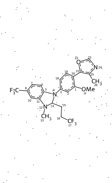 COc1cc(N2c3ccc(C(F)(F)F)cc3N(C)C2CCC(F)(F)F)ccc1-c1ocnc1C